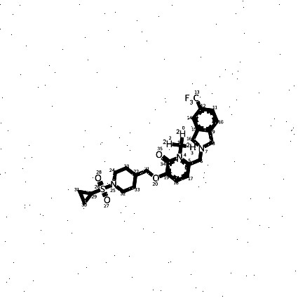 [2H]C([2H])([2H])n1c(CN2Cc3ccc(C(F)(F)F)cc3C2)ccc(OCC2CCN(S(=O)(=O)C3CC3)CC2)c1=O